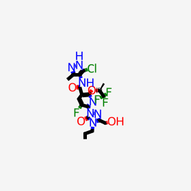 CCCn1c(CO)nn(-c2nc(O[C@@H](C)C(F)(F)F)c(C(=O)Nc3c(C)n[nH]c3Cl)cc2F)c1=O